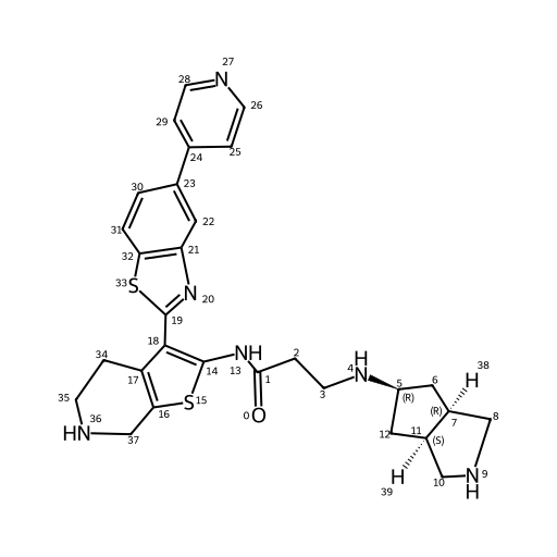 O=C(CCN[C@H]1C[C@H]2CNC[C@H]2C1)Nc1sc2c(c1-c1nc3cc(-c4ccncc4)ccc3s1)CCNC2